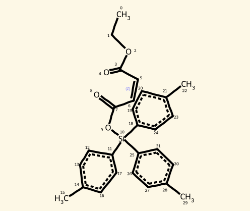 CCOC(=O)/C=C\C(=O)O[Si](c1ccc(C)cc1)(c1ccc(C)cc1)c1ccc(C)cc1